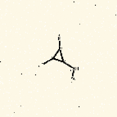 CC(=O)NC1C(F)C1F